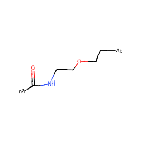 CCCC(=O)NCCOCCC(C)=O